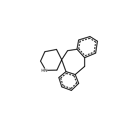 c1ccc2c(c1)Cc1ccccc1C1(CCCNC1)C2